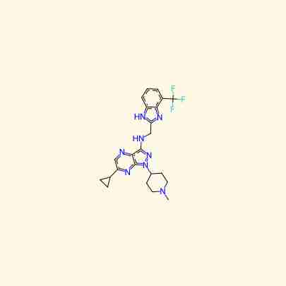 CN1CCC(n2nc(NCc3nc4c(C(F)(F)F)cccc4[nH]3)c3ncc(C4CC4)nc32)CC1